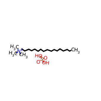 CCCCCCCCCCCCCCCCC[N+](C)(C)C.O=S(=O)(O)O